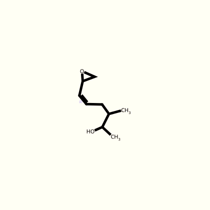 CC(O)C(C)C/C=C\C1CO1